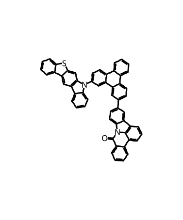 O=c1c2ccccc2c2cccc3c4cc(-c5ccc6c7ccccc7c7ccc(-n8c9ccccc9c9cc%10c(cc98)sc8ccccc8%10)cc7c6c5)ccc4n1c23